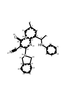 Cc1cc(C(C)Nc2ccccc2)c2nc(N3Cc4ccccc4C3)c(C#N)c(=O)n2c1